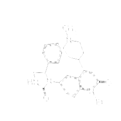 CCn1c(=O)cc(C2CCN(C)CC2)c2cc(N3C(=O)NCC3c3ccccc3)ccc21